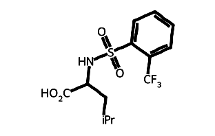 CC(C)CC(NS(=O)(=O)c1ccccc1C(F)(F)F)C(=O)O